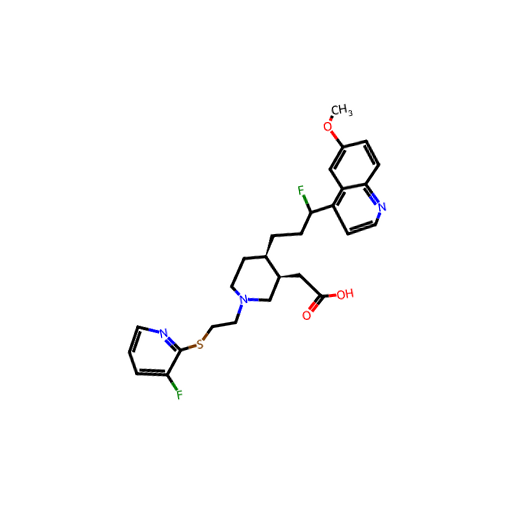 COc1ccc2nccc(C(F)CC[C@@H]3CCN(CCSc4ncccc4F)C[C@@H]3CC(=O)O)c2c1